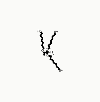 CC(C)CCCCCCCOC(C)C(N)(OCCCCCCCC(C)C)OCCCCCCCC(C)C